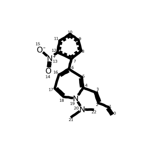 C=CC=CC1=CC(c2ccccc2[N+](=O)[O-])=CC=CN1N(C)C